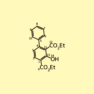 CCOC(=O)c1ccc(-c2ccccc2)c(C(=O)OCC)c1O